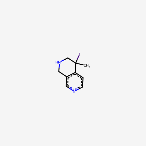 CC1(I)CNCc2cnccc21